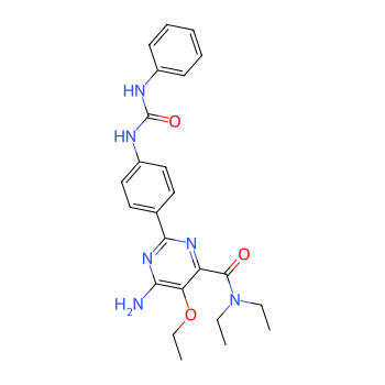 CCOc1c(N)nc(-c2ccc(NC(=O)Nc3ccccc3)cc2)nc1C(=O)N(CC)CC